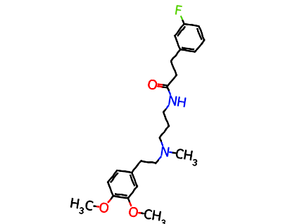 COc1ccc(CCN(C)CCCNC(=O)CCc2cccc(F)c2)cc1OC